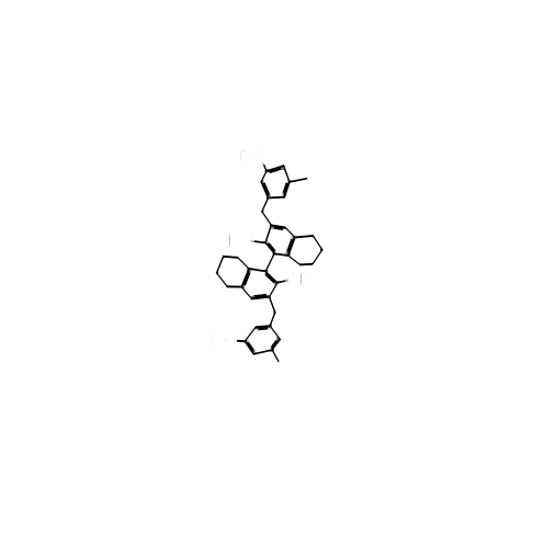 Cc1cc(Cc2cc3c(c(-c4c(O)c(Cc5cc(C(F)(F)F)cc(C(F)(F)F)c5)cc5c4CCCC5)c2O)CCCC3)cc(C(F)(F)F)c1